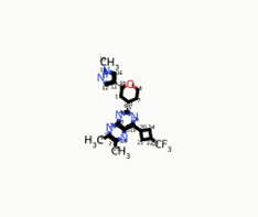 Cc1nc2nc([C@H]3CCO[C@@H](c4cnn(C)c4)C3)nc(C3CC(C(F)(F)F)C3)c2nc1C